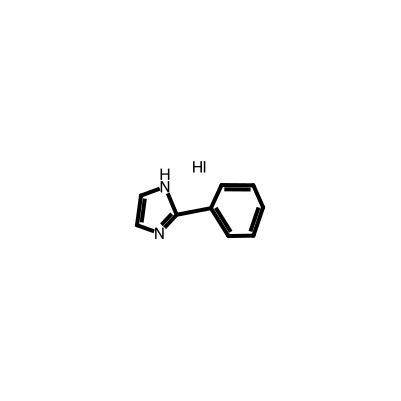 I.c1ccc(-c2ncc[nH]2)cc1